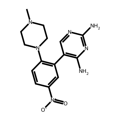 CN1CCN(c2ccc([N+](=O)[O-])cc2-c2cnc(N)nc2N)CC1